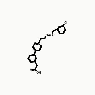 O=C(O)Cc1cccc(-c2ccc(CC=NOCc3cccc(Cl)c3)cc2)c1